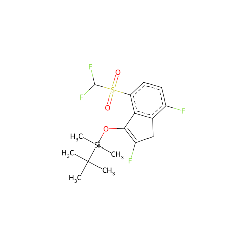 CC(C)(C)[Si](C)(C)OC1=C(F)Cc2c(F)ccc(S(=O)(=O)C(F)F)c21